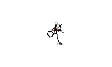 CC1C(=O)N2C3c4ccccc4C(CCCC(C)(C)C)(c4ccccc43)N2C1=O